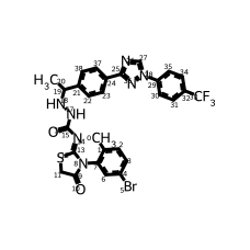 Cc1ccc(Br)cc1N1C(=O)CS/C1=N\C(=O)NNC(C)c1ccc(-c2ncn(-c3ccc(C(F)(F)F)cc3)n2)cc1